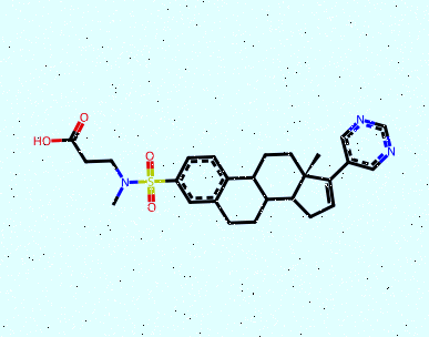 CN(CCC(=O)O)S(=O)(=O)c1ccc2c(c1)CCC1C2CC[C@]2(C)C(c3cncnc3)=CCC12